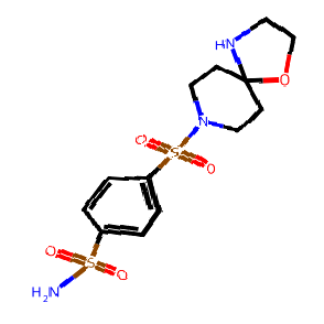 NS(=O)(=O)c1ccc(S(=O)(=O)N2CCC3(CC2)NCCO3)cc1